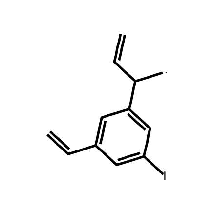 [CH2]C(C=C)c1cc(I)cc(C=C)c1